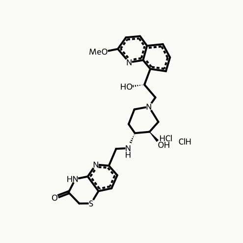 COc1ccc2cccc([C@@H](O)CN3CC[C@@H](NCc4ccc5c(n4)NC(=O)CS5)[C@H](O)C3)c2n1.Cl.Cl